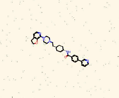 O=C(N[C@H]1CC[C@H](CCN2CCN(c3nccc4c3OCC4)CC2)CC1)c1ccc(-c2cccnc2)cc1